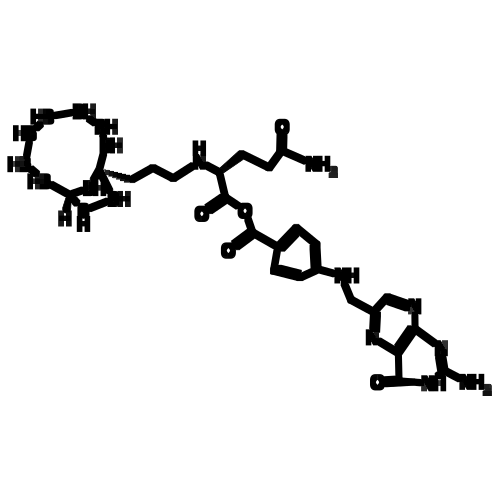 NC(=O)CC[C@H](NCCC[C@]12BBBBBBB[C@@H](BB1)B2)C(=O)OC(=O)c1ccc(NCc2cnc3nc(N)[nH]c(=O)c3n2)cc1